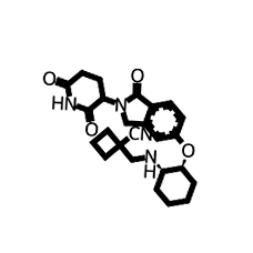 N#CC1(CN[C@H]2CCCC[C@H]2Oc2ccc3c(c2)CN(C2CCC(=O)NC2=O)C3=O)CCC1